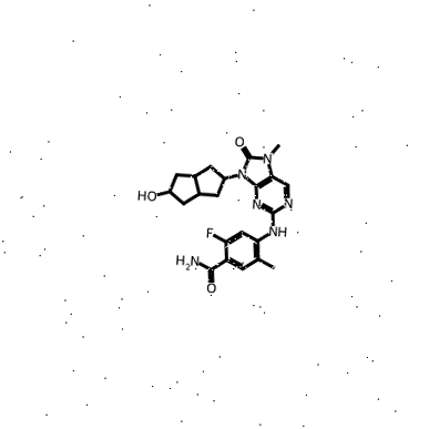 Cc1cc(C(N)=O)c(F)cc1Nc1ncc2c(n1)n(C1CC3CC(O)CC3C1)c(=O)n2C